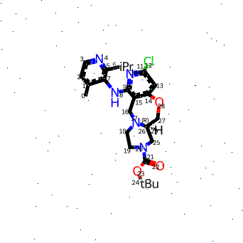 Cc1ccnc(C(C)C)c1Nc1nc(Cl)cc2c1CN1CCN(C(=O)OC(C)(C)C)C[C@@H]1CO2